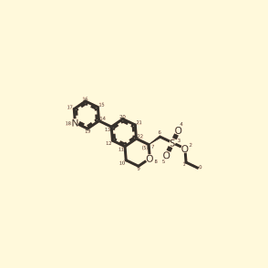 CCOS(=O)(=O)C[C@H]1OCCc2cc(-c3cccnc3)ccc21